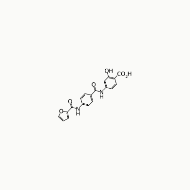 O=C(Nc1ccc(C(=O)O)c(O)c1)c1ccc(NC(=O)c2ccco2)cc1